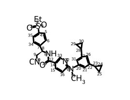 CCS(=O)(=O)c1ccc([C@H](CC#N)NC(=O)c2ccc(N(C)c3cc(C4CC4)cc(C4CC4)c3)nc2)cc1